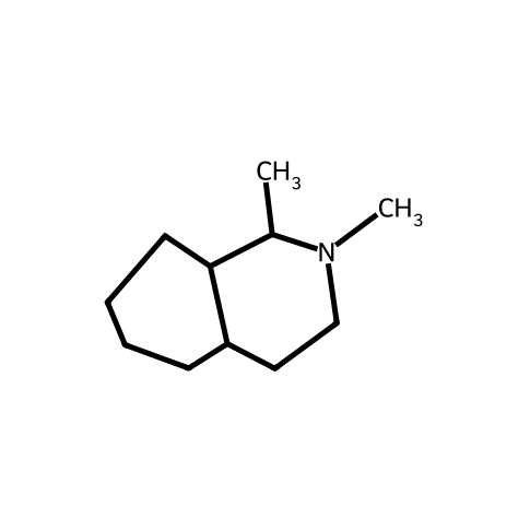 CC1C2CCCCC2CCN1C